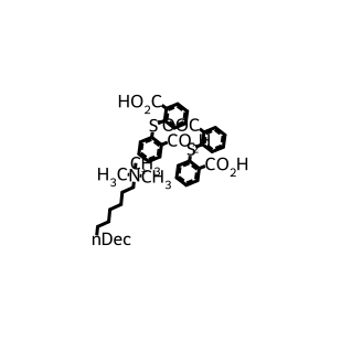 CCCCCCCCCCCCCCCC[N+](C)(C)C.O=C(O)c1ccccc1Sc1ccccc1C(=O)O.O=C([O-])c1ccccc1Sc1ccccc1C(=O)O